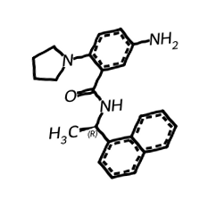 C[C@@H](NC(=O)c1cc(N)ccc1N1CCCC1)c1cccc2ccccc12